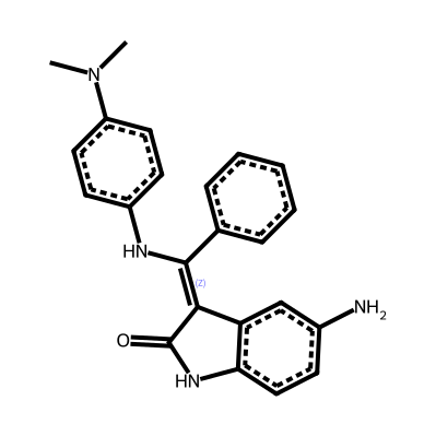 CN(C)c1ccc(N/C(=C2\C(=O)Nc3ccc(N)cc32)c2ccccc2)cc1